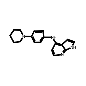 c1cc(Nc2ccc(N3CCCCC3)cc2)c2cc[nH]c2n1